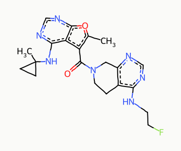 Cc1oc2ncnc(NC3(C)CC3)c2c1C(=O)N1CCc2c(ncnc2NCCF)C1